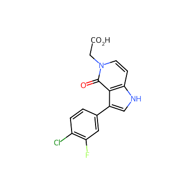 O=C(O)Cn1ccc2[nH]cc(-c3ccc(Cl)c(F)c3)c2c1=O